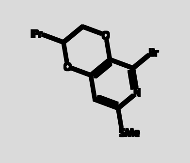 CSc1cc2c(c(Br)n1)OCC(C(C)C)O2